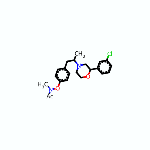 CC(=O)N(C)Oc1ccc(CC(C)N2CCOC(c3cccc(Cl)c3)C2)cc1